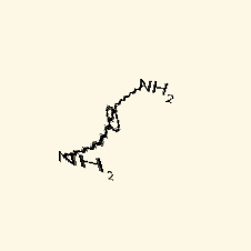 NCCCCCCCCCCCCCOCCCCCCCCCCCCCN